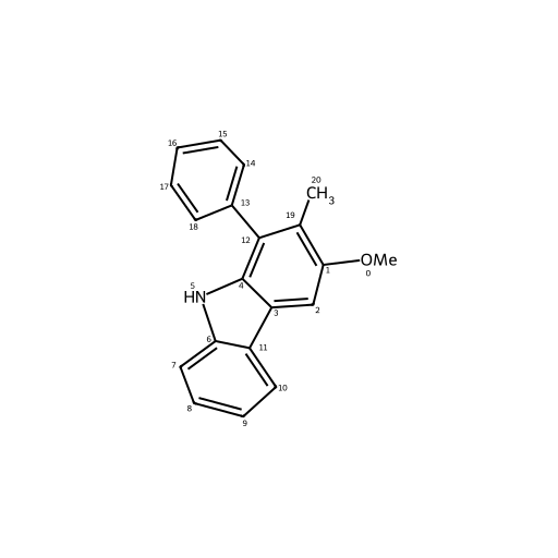 COc1cc2c([nH]c3ccccc32)c(-c2ccccc2)c1C